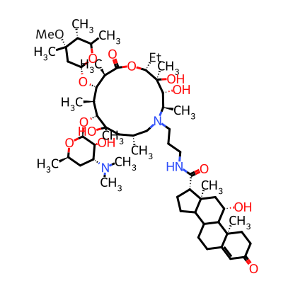 CC[C@H]1OC(=O)[C@H](C)[C@@H](O[C@@H]2C[C@](C)(OC)[C@H](C)C(C)O2)[C@H](C)[C@@H](O[C@@H]2O[C@H](C)C[C@@H](N(C)C)[C@H]2O)[C@](C)(O)C[C@@H](C)CN(CCCNC(=O)[C@H]2CCC3C4CCC5=CC(=O)CC[C@]5(C)C4[C@@H](O)C[C@@]32C)[C@H](C)[C@@H](O)[C@]1(C)O